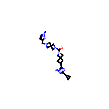 Cn1ccc(CN2CC3(C2)CN(C(=O)N2CC4(CC(c5nc(C6CC6)n[nH]5)C4)C2)C3)n1